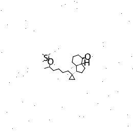 CC(CCCCC1([C@H]2CC[C@H]3C(=O)CCC[C@]23C)CC1)O[Si](C)(C)C